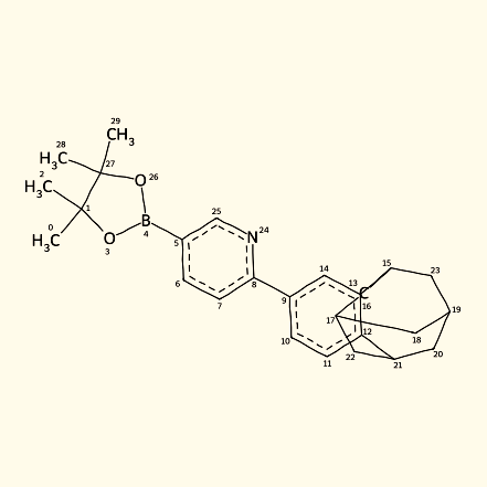 CC1(C)OB(c2ccc(-c3ccc4c(c3)C3CC5CC(CC4C5)C3)nc2)OC1(C)C